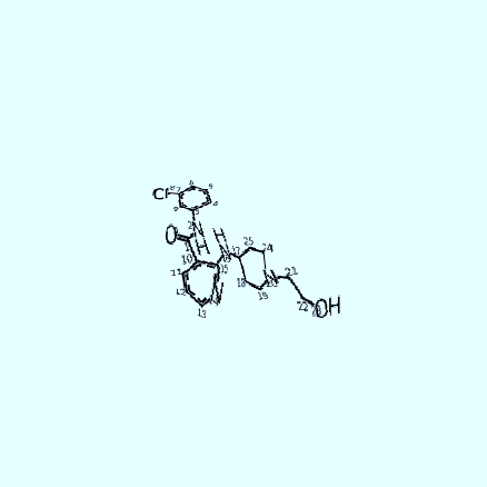 O=C(Nc1cccc(Cl)c1)c1cccnc1NC1CCN(CCO)CC1